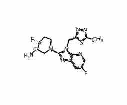 Cc1nnc(Cn2c(N3CC[C@@H](F)[C@H](N)C3)nc3cc(F)cnc32)s1